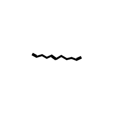 C=CCC/C=C/CCCC=C